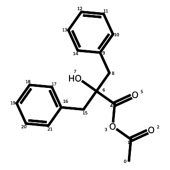 CC(=O)OC(=O)C(O)(Cc1ccccc1)Cc1ccccc1